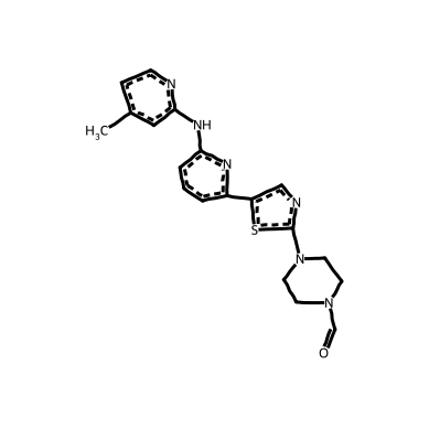 Cc1ccnc(Nc2cccc(-c3cnc(N4CCN(C=O)CC4)s3)n2)c1